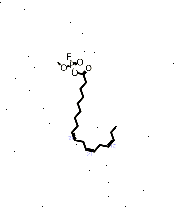 CC/C=C\C/C=C\C/C=C\CCCCCCCC(=O)OP(=O)(F)OC